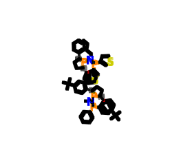 CCCCN(P(c1ccsc1)c1csc(-c2cc(C(C)(C)C)ccc2[C@@H]2CC[C@@H](c3ccc(C(C)(C)C)cc3)P2N(C)P(c2ccccc2)c2ccccc2)c1)P1[C@H](c2ccccc2)CC[C@H]1c1ccccc1